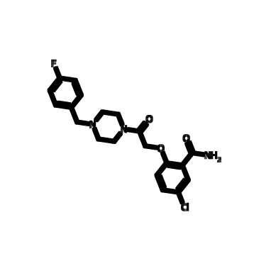 NC(=O)c1cc(Cl)ccc1OCC(=O)N1CCN(Cc2ccc(F)cc2)CC1